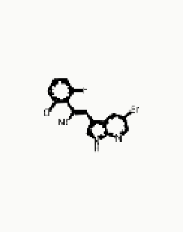 N#CC(=Cc1c[nH]c2ncc(Br)cc12)c1c(F)cccc1Cl